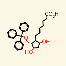 O=C(O)CCC/C=C/C[C@@H]1[C@@H](COC(c2ccccc2)(c2ccccc2)c2ccccc2)[C@H](O)C[C@@H]1O